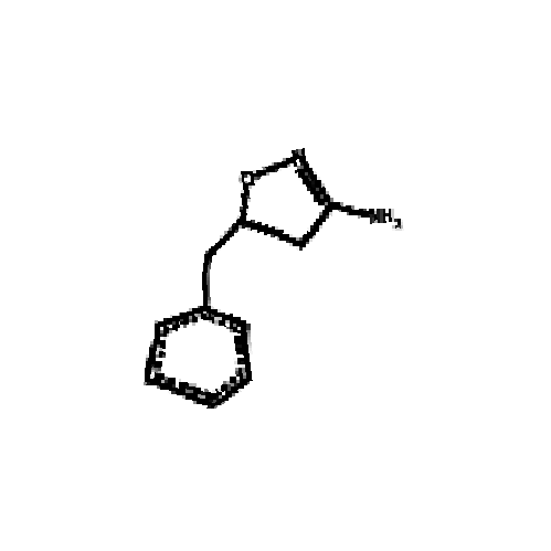 NC1=NOC(Cc2ccccc2)C1